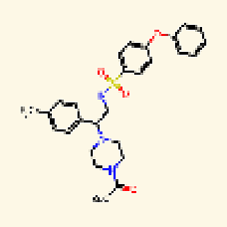 CC(C)COC(=O)N1CCN(C(CNS(=O)(=O)c2ccc(Oc3ccccc3)cc2)c2ccc(C(F)(F)F)cc2)CC1